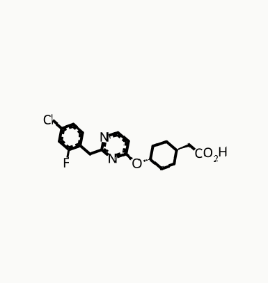 O=C(O)C[C@H]1CC[C@H](Oc2ccnc(Cc3ccc(Cl)cc3F)n2)CC1